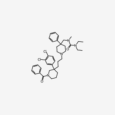 CCN(CC)C(=O)N(C)CC1(c2ccccc2)CCN(CCCC2(c3ccc(Cl)c(Cl)c3)CCCN(C(=O)c3ccccc3)C2)CC1